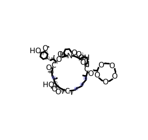 CO[C@@H]1C[C@H](C[C@@H](C)[C@@H]2CC(=O)[C@H](C)/C=C(\C)[C@@H](O)[C@@H](OC)C(=O)[C@H](C)C[C@H](C)/C=C/C=C/C=C(\C)C(OCC3COCCOCCOCCOCCO3)C[C@@H]3CC[C@@H](C)[C@@](O)(O3)C(=O)C(=O)N3CCCC[C@H]3C(=O)O2)CC[C@H]1O